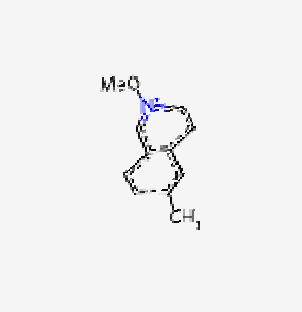 CO[n+]1ccc2cc(C)ccc2c1